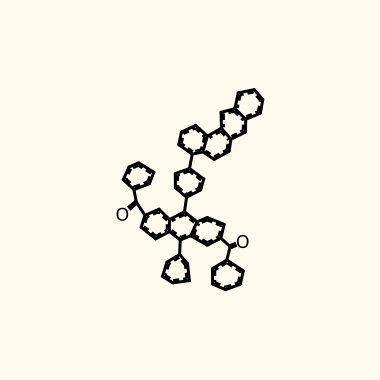 O=C(c1ccccc1)c1ccc2c(-c3ccc(-c4cccc5c4ccc4cc6ccccc6cc45)cc3)c3cc(C(=O)c4ccccc4)ccc3c(-c3ccccc3)c2c1